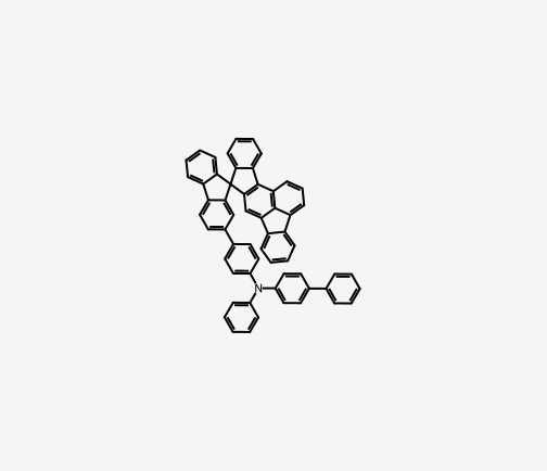 c1ccc(-c2ccc(N(c3ccccc3)c3ccc(-c4ccc5c(c4)C4(c6ccccc6-5)c5ccccc5-c5c4cc4c6c(cccc56)-c5ccccc5-4)cc3)cc2)cc1